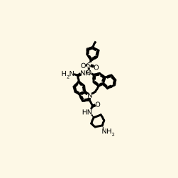 Cc1ccc(S(=O)(=O)Oc2cc(Cn3c(C(=O)N[C@H]4CC[C@H](N)CC4)cc4ccc(C(=N)N)cc43)c3ccccc3c2)cc1